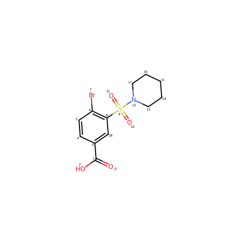 O=C(O)c1ccc(Br)c(S(=O)(=O)N2CCCCC2)c1